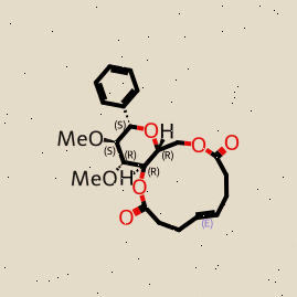 CO[C@@H]1[C@@H](OC)[C@H](c2ccccc2)O[C@@H]2COC(=O)CC/C=C/CCC(=O)O[C@@H]12